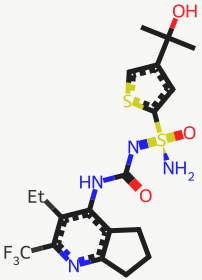 CCc1c(C(F)(F)F)nc2c(c1NC(=O)N=[S@@](N)(=O)c1cc(C(C)(C)O)cs1)CCC2